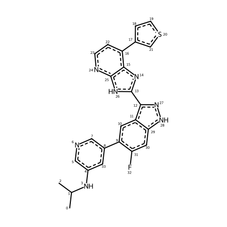 CC(C)Nc1cncc(-c2cc3c(-c4nc5c(-c6ccsc6)ccnc5[nH]4)n[nH]c3cc2F)c1